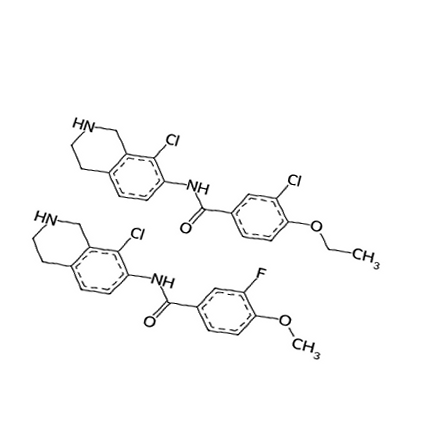 CCOc1ccc(C(=O)Nc2ccc3c(c2Cl)CNCC3)cc1Cl.COc1ccc(C(=O)Nc2ccc3c(c2Cl)CNCC3)cc1F